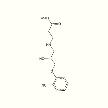 COC(=O)CCNCC(O)COc1ccccc1C#N